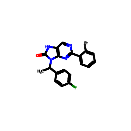 CC(C)c1ccccc1-c1ncc2[nH]c(=O)n(C(C)c3ccc(F)cc3)c2n1